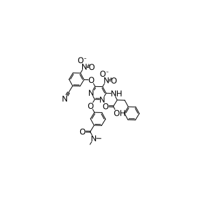 CN(C)C(=O)c1cccc(Oc2nc(NC(Cc3ccccc3)C(=O)O)c([N+](=O)[O-])c(Oc3cc(C#N)ccc3[N+](=O)[O-])n2)c1